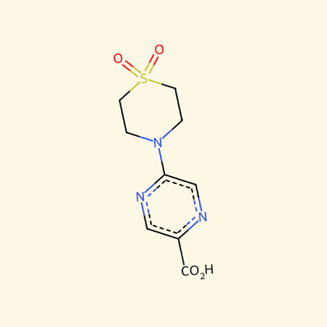 O=C(O)c1cnc(N2CCS(=O)(=O)CC2)cn1